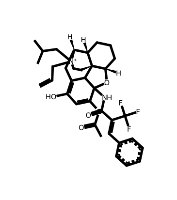 C=CC[N+]1(CC(C)C)CC[C@]23C4C5=C(O)C=C(OC(C)=O)C4(NC(=O)C(=Cc4ccccc4)C(F)(F)F)O[C@H]2CCC[C@H]3[C@H]1C5